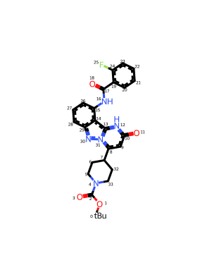 CC(C)(C)OC(=O)N1CCC(c2cc(=O)[nH]c3c4c(NC(=O)c5ccccc5F)cccc4nn23)CC1